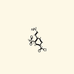 CCC/C=C/c1ccc(C(=O)Cl)cc1S(C)(=O)=O